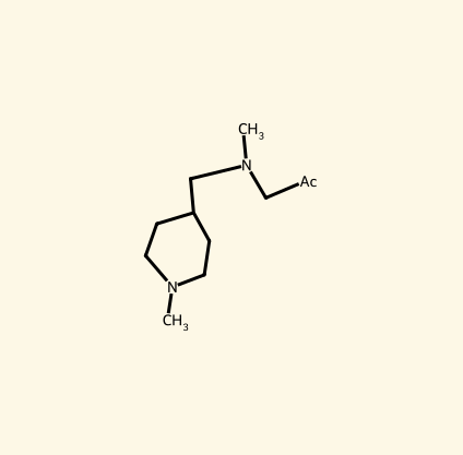 CC(=O)CN(C)CC1CCN(C)CC1